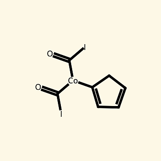 O=[C](I)[Co]([C](=O)I)[C]1=CC=CC1